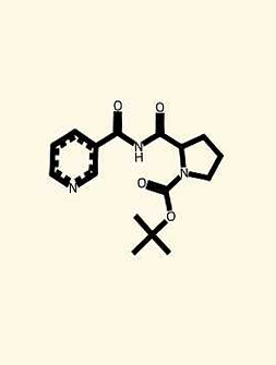 CC(C)(C)OC(=O)N1CCCC1C(=O)NC(=O)c1cccnc1